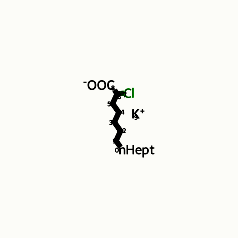 CCCCCCCCCCCCC(Cl)C(=O)[O-].[K+]